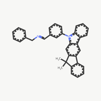 CC1(C)c2ccccc2-c2cc3c4ccccc4n(-c4cccc(/C=N/Cc5ccccc5)c4)c3cc21